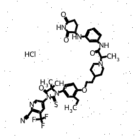 CCc1cc(N2C(=S)N(c3cnc(C#N)c(C(F)(F)F)c3)C(=O)C2(C)C)ccc1OCCC1CCN(C(C)C(=O)Nc2cccc(NC3CCC(=O)NC3=O)c2)CC1.Cl